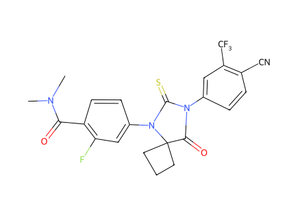 CN(C)C(=O)c1ccc(N2C(=S)N(c3ccc(C#N)c(C(F)(F)F)c3)C(=O)C23CCC3)cc1F